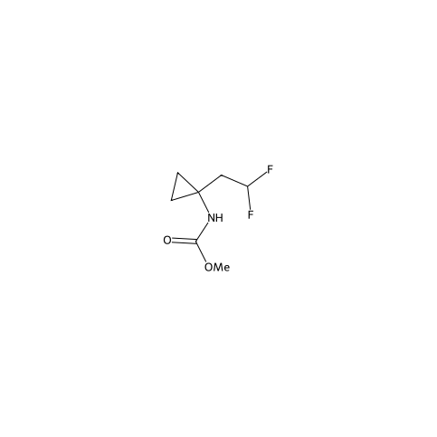 COC(=O)NC1(CC(F)F)CC1